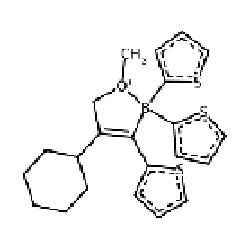 C[O+]1CC(C2CCCCC2)=C(c2cccs2)[B-]1(c1cccs1)c1cccs1